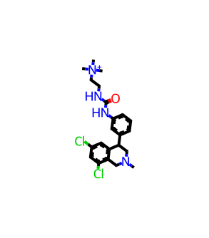 CN1Cc2c(Cl)cc(Cl)cc2C(c2cccc(NC(=O)NCC[N+](C)(C)C)c2)C1